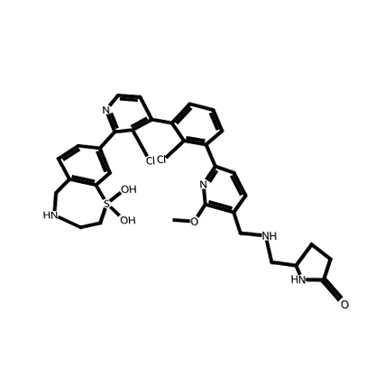 COc1nc(-c2cccc(-c3ccnc(-c4ccc5c(c4)S(O)(O)CCNC5)c3Cl)c2Cl)ccc1CNCC1CCC(=O)N1